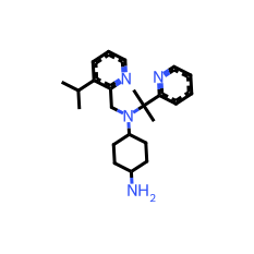 CC(C)c1cccnc1CN(C1CCC(N)CC1)C(C)(C)c1ccccn1